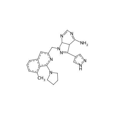 Cc1cccc2cc(CN3N=C(c4cn[nH]c4)C4C(N)=NC=NC43)nc(N3CCCC3)c12